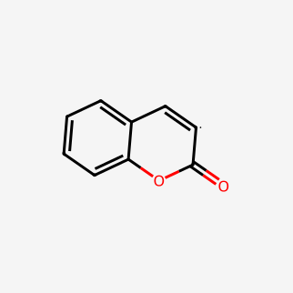 O=c1[c]cc2ccccc2o1